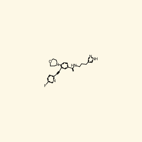 C=C(NCCCc1cn[nH]c1)c1ccc(N2CCOCC2)c(C#Cc2ccc(F)cn2)c1